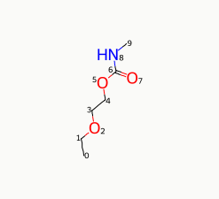 CCOCCOC(=O)NC